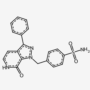 NS(=O)(=O)c1ccc(Cn2nc(-c3ccccc3)c3cc[nH]c(=O)c32)cc1